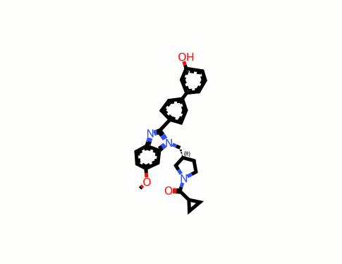 COc1ccc2nc(-c3ccc(-c4cccc(O)c4)cc3)n(C[C@@H]3CCN(C(=O)C4CC4)C3)c2c1